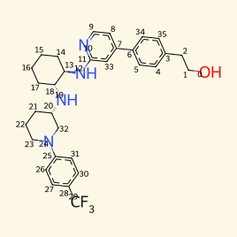 OCCc1ccc(-c2ccnc(N[C@@H]3CCCC[C@H]3N[C@H]3CCCN(c4ccc(C(F)(F)F)cc4)C3)c2)cc1